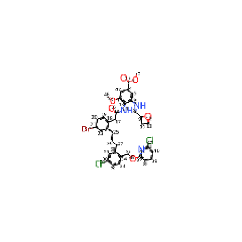 COC(=O)c1cc(NC[C@@H]2CCO2)c(NC(=O)Cc2ccc(Br)cc2/C=C/Cc2cc(Cl)ccc2COc2cccc(Cl)n2)c(OC)c1